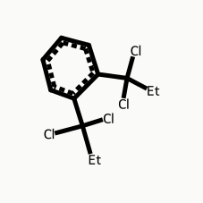 CCC(Cl)(Cl)c1ccccc1C(Cl)(Cl)CC